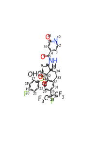 Cn1ccc(C(=O)N[C@@H]2CC(C=O)[C@]3(S(=O)(=O)c4ccc(F)cc4)c4ccc(C(F)(C(F)(F)F)C(F)(F)F)cc4CC[C@@H]23)cc1=O